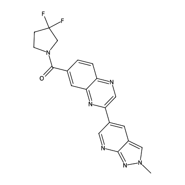 Cn1cc2cc(-c3cnc4ccc(C(=O)N5CCC(F)(F)C5)cc4n3)cnc2n1